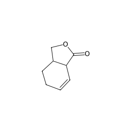 O=C1OCC2CCC=CC12